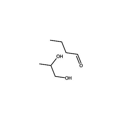 CC(O)CO.CCCC=O